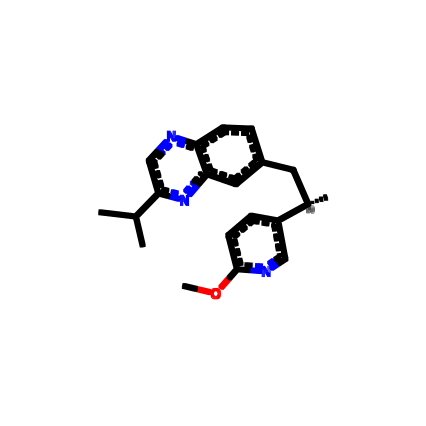 COc1ccc([C@@H](C)Cc2ccc3ncc(C(C)C)nc3c2)cn1